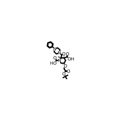 CC(C)(C)OC(=O)CO[C@@H]1CN(C(=O)O)[C@](C)(C(=O)N2CCN(c3ccccc3)CC2)[C@@](C)(C(=O)O)C1